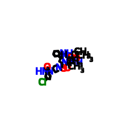 CC(C)(C)OC(=O)NC(C)(C)C(=O)NC(Cc1c[nH]c2ccccc12)C(=O)N1CCC(n2c(=O)[nH]c3cc(Cl)ccc32)CC1